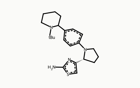 CC(C)(C)N1CCCCC1c1ccc(N2CCC[C@@H]2c2csc(N)n2)cc1